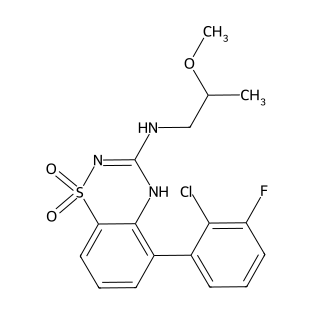 COC(C)CNC1=NS(=O)(=O)c2cccc(-c3cccc(F)c3Cl)c2N1